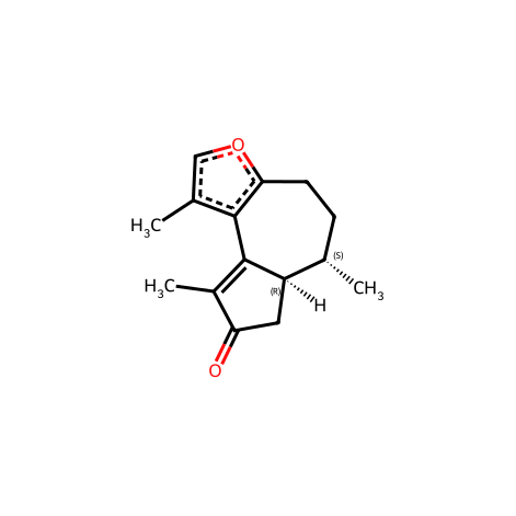 CC1=C2c3c(C)coc3CC[C@H](C)[C@H]2CC1=O